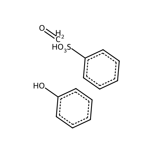 C=O.O=S(=O)(O)c1ccccc1.Oc1ccccc1